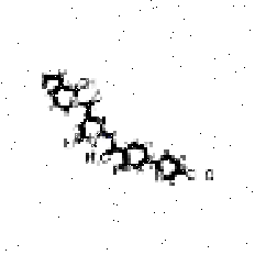 C=C(/C=C1/N=C(C(=O)N2CCc3sccc3C2C)C=C(CC)N1C)c1ccc(-c2ccc(C=O)cn2)cc1F